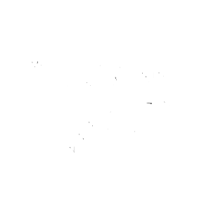 COc1ccc(O[C@@H]2OC(CN=[N+]=[N-])[C@@H](C)[C@H](OC(C)=O)C2NC(C)=O)cc1